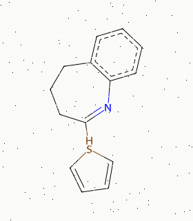 C1=C[SH](C2=Nc3ccccc3CCC2)C=C1